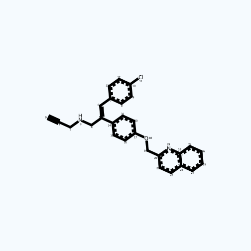 C#CCNC/C(=C/c1ccc(Cl)cc1)c1ccc(OCc2ccc3ccccc3n2)cc1